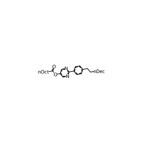 CCCCCCCCCCCCc1ccc(-c2ncc(OC(=O)CCCCCCCC)cn2)cc1